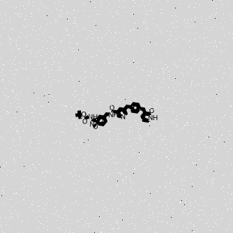 CC(C)(C)OC(=O)Nc1noc2ccc(CNC(=O)c3cncc(Cc4ccc(Cc5ccc[nH]c5=O)cc4)c3)cc12